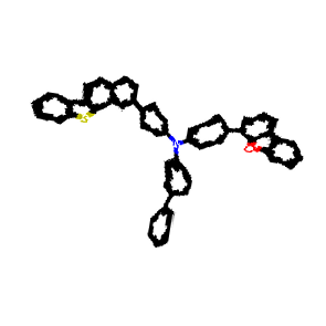 c1ccc(-c2ccc(N(c3ccc(-c4ccc5ccc6c7ccccc7sc6c5c4)cc3)c3ccc(-c4cccc5c4oc4ccccc45)cc3)cc2)cc1